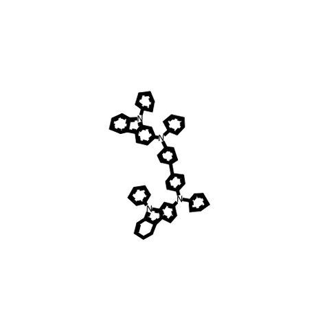 C1=Cc2c(c3ccc(N(c4ccccc4)c4ccc(-c5ccc(N(c6ccccc6)c6ccc7c8ccccc8n(-c8ccccc8)c7c6)cc5)cc4)cc3n2-c2ccccc2)CC1